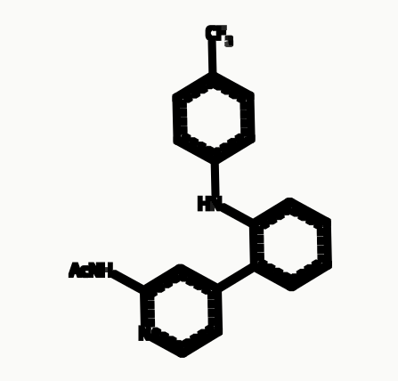 CC(=O)Nc1cc(-c2ccccc2Nc2ccc(C(F)(F)F)cc2)ccn1